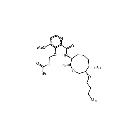 CCCC[C@H]1CCC[C@H](NC(=O)c2nccc(OC)c2OCOC(=O)C(C)C)C(=O)O[C@@H](C)[C@@H]1OCCCC(F)(F)F